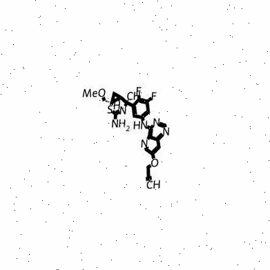 C#CCOc1cnc2c(Nc3cc(F)c(F)c([C@@]4(C)N=C(N)S[C@@]5(COC)C[C@H]54)c3)ncnc2c1